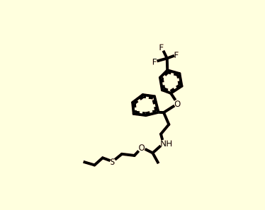 CCCSCCOC(C)NCCC(Oc1ccc(C(F)(F)F)cc1)c1ccccc1